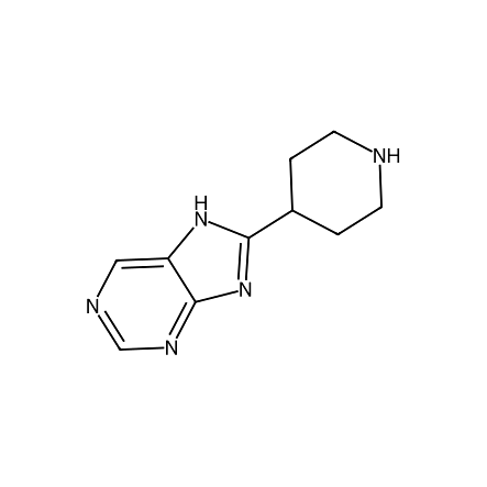 c1ncc2[nH]c(C3CCNCC3)nc2n1